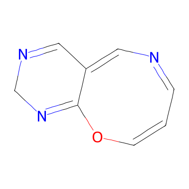 C1=NCN=C2O\C=C/C=N\C=C\12